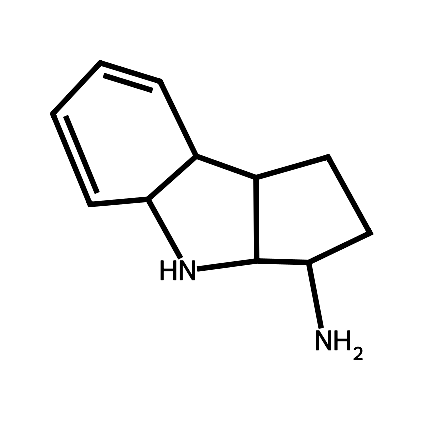 NC1CCC2C3C=CC=CC3NC12